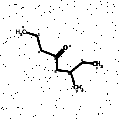 CCCC(=O)CC(C)CC